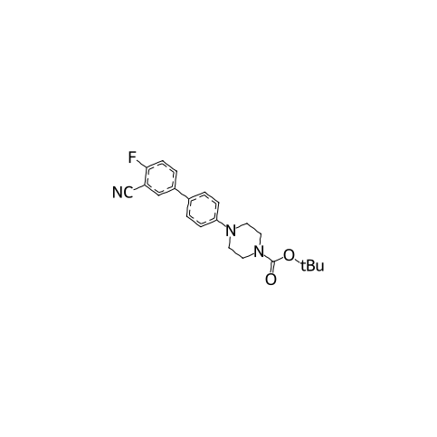 CC(C)(C)OC(=O)N1CCN(c2ccc(-c3ccc(F)c(C#N)c3)cc2)CC1